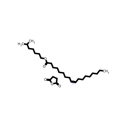 CCCCCCCC/C=C\CCCCCCCC(=O)OCCCCCC(C)C.O=C1CCC(=O)O1